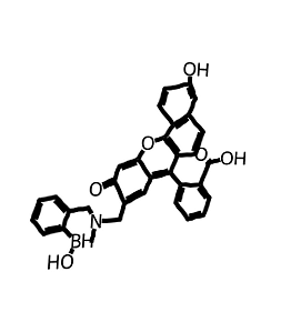 CN(Cc1ccccc1BO)Cc1cc2c(-c3ccccc3C(=O)O)c3ccc4cc(O)ccc4c3oc-2cc1=O